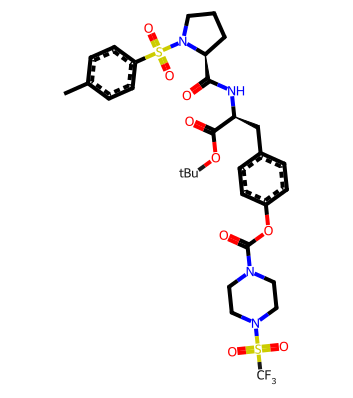 Cc1ccc(S(=O)(=O)N2CCC[C@H]2C(=O)N[C@@H](Cc2ccc(OC(=O)N3CCN(S(=O)(=O)C(F)(F)F)CC3)cc2)C(=O)OC(C)(C)C)cc1